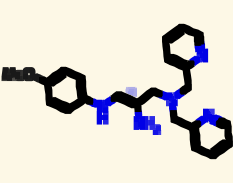 COc1ccc(N/C=C(\N)CN(Cc2ccccn2)Cc2ccccn2)cc1